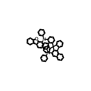 c1ccc(N(c2ccccc2)c2cc3ccccc3c3c2C2(c4ccccc4-c4c(N(c5ccccc5)c5cccc6c5oc5ccccc56)cccc42)c2ccccc2-3)cc1